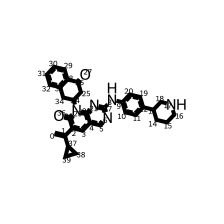 C=C(c1cc2cnc(Nc3ccc(C4CCCNC4)cc3)nc2n(C2CC(=O)c3ccccc3C2)c1=O)C1CC1